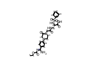 CCOC(=O)/N=C(\N)c1ccc(N2CCN(CC(=O)NC[C@H](NS(=O)(=O)c3ccccc3)C(=O)O)C(=O)C2)cc1